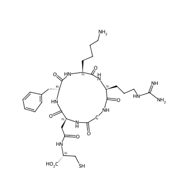 N=C(N)NCCC[C@@H]1NC(=O)[C@H](CCCCN)NC(=O)[C@@H](Cc2ccccc2)NC(=O)[C@H](CC(=O)N[C@H](CS)C(=O)O)NC(=O)CNC1=O